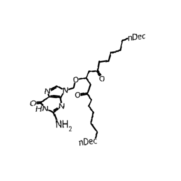 CCCCCCCCCCCCCCCC(=O)CC(CC(=O)CCCCCCCCCCCCCCC)OCn1cnc2c(=O)[nH]c(N)nc21